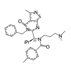 Cc1ccc(C(=O)N(CCCN(C)C)[C@H](c2nc3snc(C)c3c(=O)n2Cc2ccccc2)C(C)C)cc1